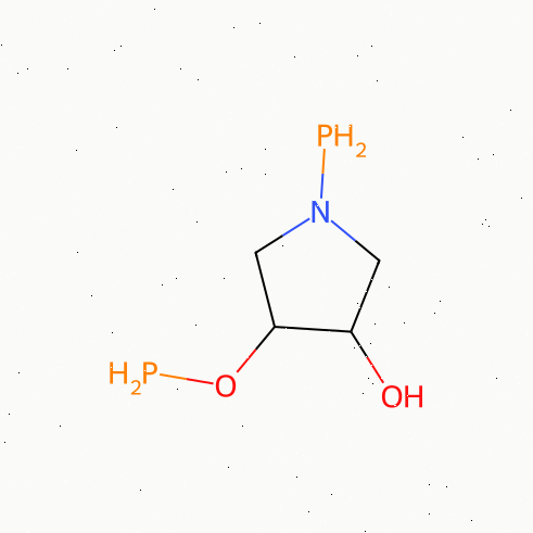 OC1CN(P)CC1OP